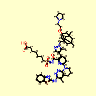 Cc1c(Nc2nc3ccccc3s2)nnc2c1CCCN2c1ccc(-c2cnn(CC34CC5(C)CC(C)(C3)CC(OCCN3CCCC3)(C5)C4)c2C)c(C(=O)NS(=O)(=O)CCCCCCC(=O)O)n1